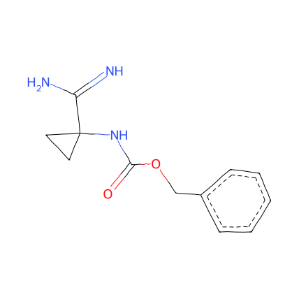 N=C(N)C1(NC(=O)OCc2ccccc2)CC1